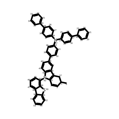 CC1C=Cc2c(c3cc(-c4ccc(N(c5ccc(-c6ccccc6)cc5)c5ccc(-c6ccccc6)cc5)cc4)ccc3n2-c2cccc3c2sc2ccccc23)C1